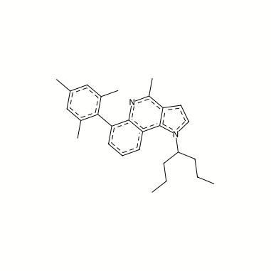 CCCC(CCC)n1ccc2c(C)nc3c(-c4c(C)cc(C)cc4C)cccc3c21